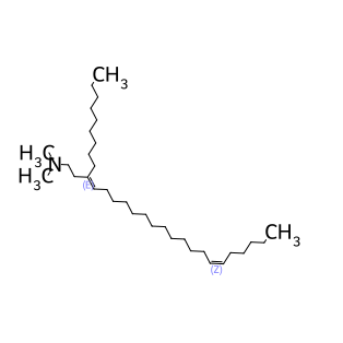 CCCCC/C=C\CCCCCCCCCCC/C=C(\CCCCCCCCC)CCN(C)C